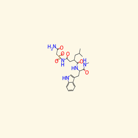 CNC(=O)C(Cc1c[nH]c2ccccc12)NC(=O)C(CC(=O)NS(=O)(=O)CC(N)=O)CC(C)C